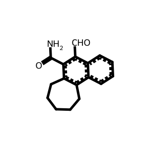 NC(=O)c1c2c(c3ccccc3c1C=O)CCCCC2